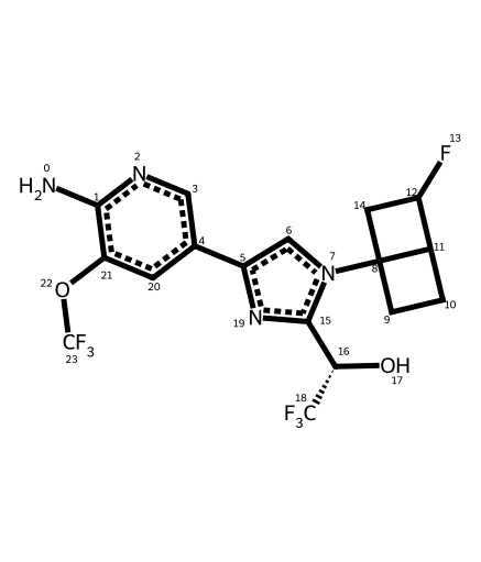 Nc1ncc(-c2cn(C34CCC3C(F)C4)c([C@H](O)C(F)(F)F)n2)cc1OC(F)(F)F